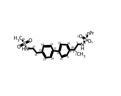 CCCS(=O)(=O)NC[C@H](C)c1ccc(-c2ccc(CCNS(C)(=O)=O)cc2)cc1